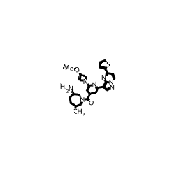 COC1CN(c2cc(C(=O)N3CC(C)CCC(N)C3)cc(-c3cnn4ccc(-c5cccs5)nc34)n2)C1